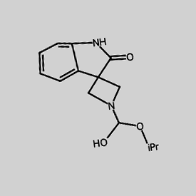 CC(C)OC(O)N1CC2(C1)C(=O)Nc1ccccc12